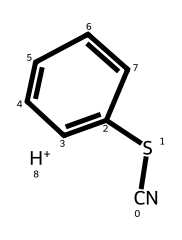 N#CSc1ccccc1.[H+]